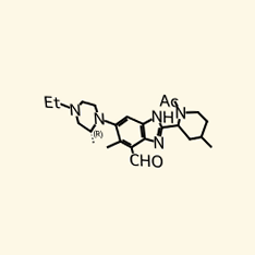 CCN1CCN(c2cc3[nH]c(C4CC(C)CCN4C(C)=O)nc3c(C=O)c2C)[C@H](C)C1